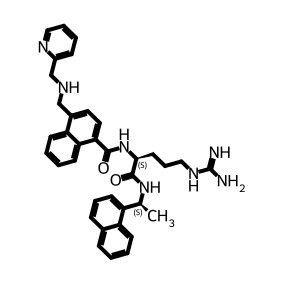 C[C@H](NC(=O)[C@H](CCCNC(=N)N)NC(=O)c1ccc(CNCc2ccccn2)c2ccccc12)c1cccc2ccccc12